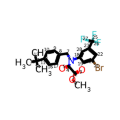 COC(=O)C(=O)N(Cc1ccc(C(C)(C)C)cc1)c1cc(Br)cc(C(F)(F)F)c1